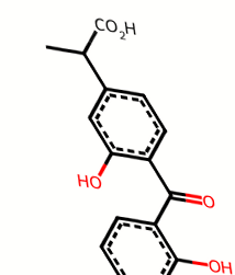 CC(C(=O)O)c1ccc(C(=O)c2ccccc2O)c(O)c1